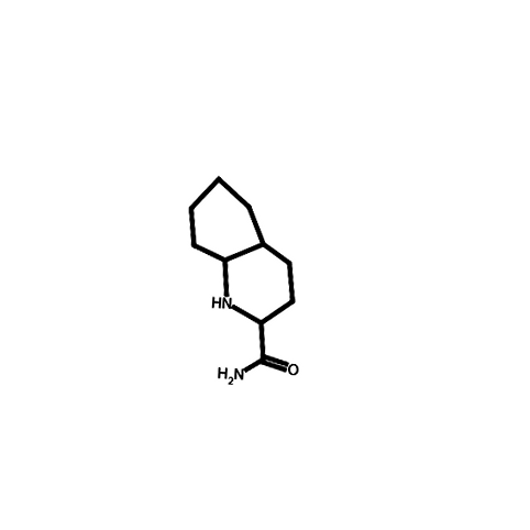 NC(=O)C1CCC2CCCCC2N1